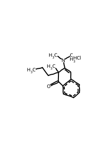 CCCC1(C)C(=O)c2ccccc2C=C1N(C)C.Cl